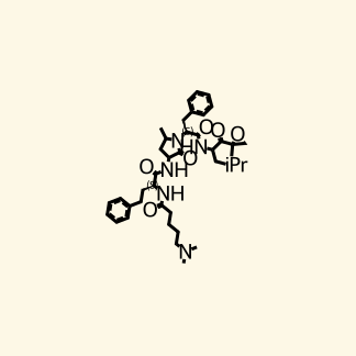 CC(C)CC(NC(=O)[C@H](Cc1ccccc1)N1C(=O)C(NC(=O)[C@H](CCc2ccccc2)NC(=O)CCCCN(C)C)CC1C)C(=O)C1(C)CO1